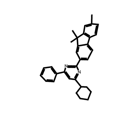 Cc1ccc2c(c1)C(C)(C)c1cc(-c3nc(-c4ccccc4)cc(C4CCCCC4)n3)ccc1-2